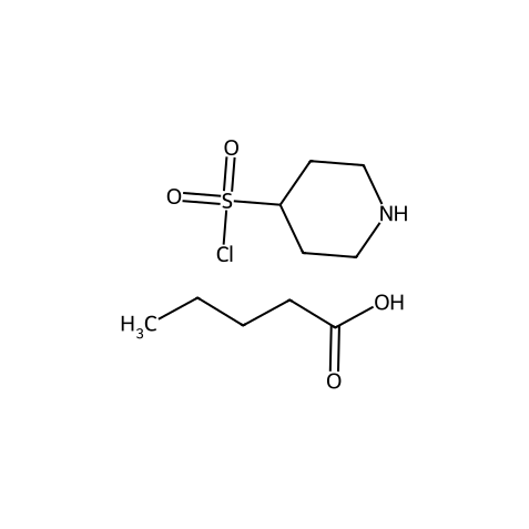 CCCCC(=O)O.O=S(=O)(Cl)C1CCNCC1